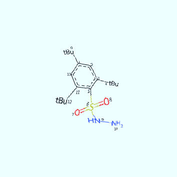 CC(C)(C)c1cc(C(C)(C)C)c(S(=O)(=O)NN)c(C(C)(C)C)c1